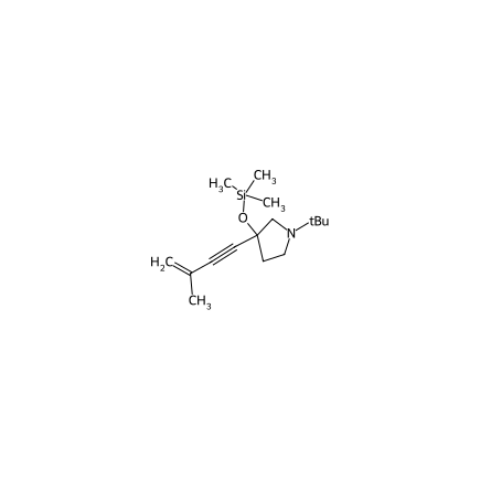 C=C(C)C#CC1(O[Si](C)(C)C)CCN(C(C)(C)C)C1